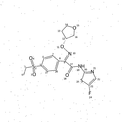 CCS(=O)(=O)c1ccc(/C(=N\O[C@@H]2CCOC2)C(=O)Nc2ncc(F)s2)cc1